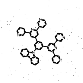 c1cncc(-c2cc(-c3cc(-c4cc(-c5cccnc5)nc(-c5cccnc5)c4)cc(-n4c5ccccc5c5ccccc54)c3)cc(-c3cccnc3)n2)c1